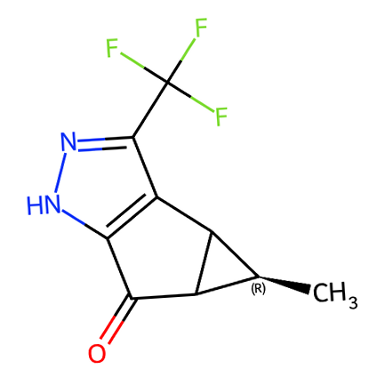 C[C@H]1C2C(=O)c3[nH]nc(C(F)(F)F)c3C21